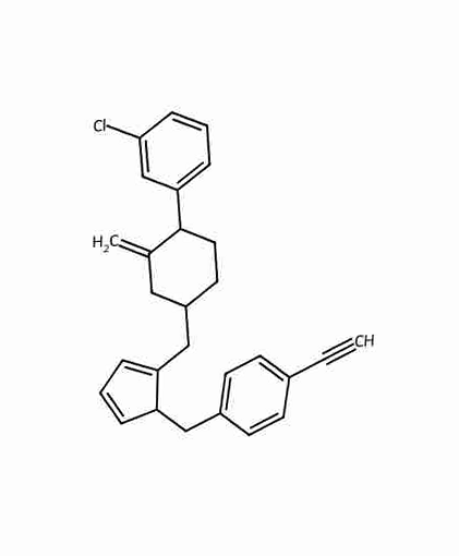 C#Cc1ccc(CC2C=CC=C2CC2CCC(c3cccc(Cl)c3)C(=C)C2)cc1